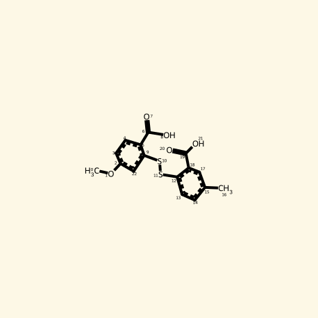 COc1ccc(C(=O)O)c(SSc2ccc(C)cc2C(=O)O)c1